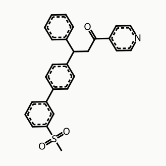 CS(=O)(=O)c1cccc(-c2ccc(C(CC(=O)c3ccncc3)c3ccccc3)cc2)c1